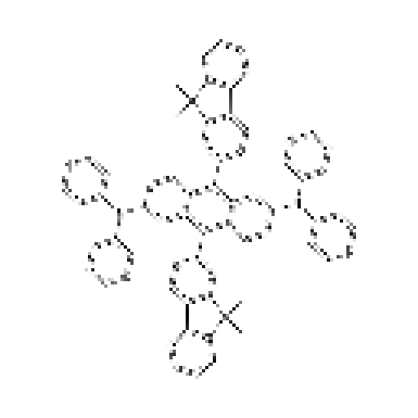 CC1(C)c2ccccc2-c2ccc(-c3c4ccc(N(c5ccncc5)c5cccnc5)cc4c(-c4ccc5c(c4)C(C)(C)c4ccccc4-5)c4ccc(N(c5ccncc5)c5cccnc5)cc34)cc21